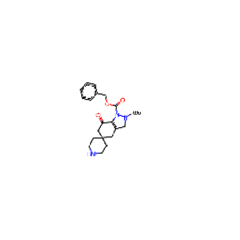 CC(C)(C)N1CC2=C(C(=O)CC3(CCNCC3)C2)N1C(=O)OCc1ccccc1